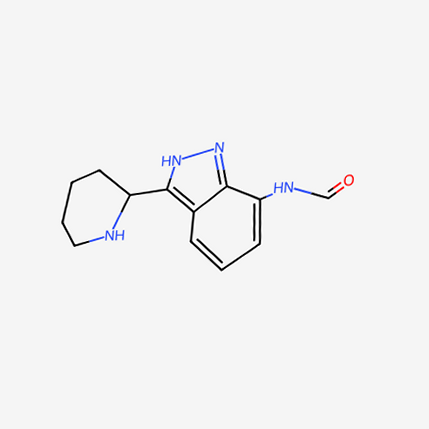 O=CNc1cccc2c(C3CCCCN3)[nH]nc12